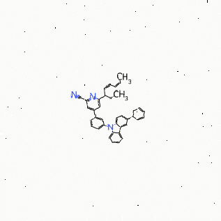 C/C=C\C=C/C(CC)c1cc(-c2cccc(-n3c4ccccc4c4cc(C5C=CC=CC5)ccc43)c2)cc(C#N)n1